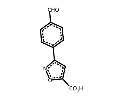 O=Cc1ccc(-c2cc(C(=O)O)on2)cc1